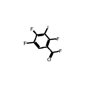 O=C(F)c1cc(F)c(F)c(I)c1F